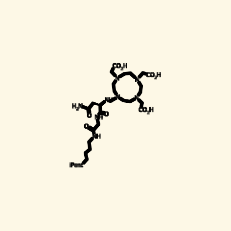 CCCC(C)CCCCNC(=O)CNC(=O)[C@@H](CC(N)=O)NCN1CCN(CC(=O)O)CCN(CC(=O)O)CCN(CC(=O)O)CC1